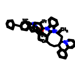 C=C1CC2C(CCc3ccc4c(oc5nc(C#N)ccc54)c3-c3n(-c4c(C(C)C)cc(-c5ccc(-c6ccccc6)cc5)cc4C(C)C)c4ccccc4[n+]31)c1ccccc1-c1cccc[n+]12